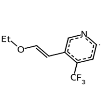 CCO/C=C/c1cn[c]cc1C(F)(F)F